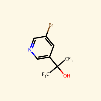 OC(c1cncc(Br)c1)(C(F)(F)F)C(F)(F)F